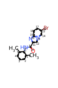 Cc1cccc(C)c1NC(=O)c1cn2cc(Br)ccc2n1